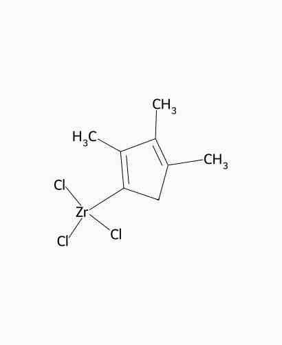 CC1=C(C)C(C)=[C]([Zr]([Cl])([Cl])[Cl])C1